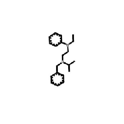 CCN(CCN(Cc1ccccc1)C(C)C)c1ccccc1